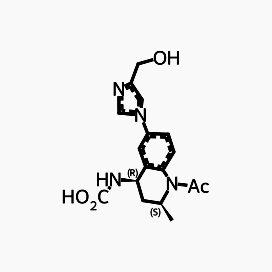 CC(=O)N1c2ccc(-n3cnc(CO)c3)cc2[C@H](NC(=O)O)C[C@@H]1C